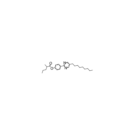 CCCCCCCCCc1cnc(-c2ccc(OC(=O)C(C)CCC)cc2)nc1